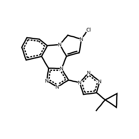 CC1(c2cn(-c3nnc4n3C3=CN(Cl)CN3c3ccccc3-4)nn2)CC1